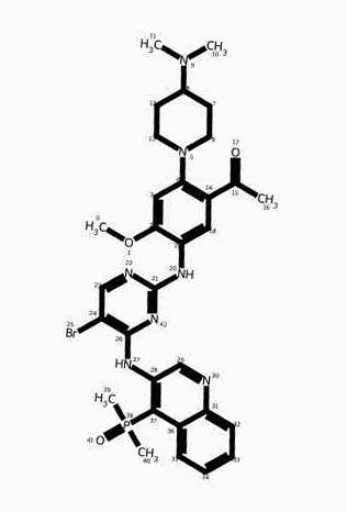 COc1cc(N2CCC(N(C)C)CC2)c(C(C)=O)cc1Nc1ncc(Br)c(Nc2cnc3ccccc3c2P(C)(C)=O)n1